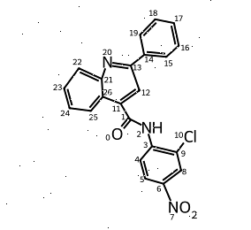 O=C(Nc1ccc([N+](=O)[O-])cc1Cl)c1cc(-c2ccccc2)nc2ccccc12